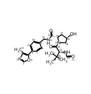 Cc1ncoc1-c1ccc(CNC(=O)[C@@H]2C[C@@H](O)CN2C(=O)[C@@H](NC=O)C(C)(C)C)cc1